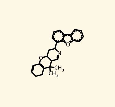 CC1(C)C2=C(C=CCC2)OC2CC(c3cccc4c3oc3ccccc34)N=CC21